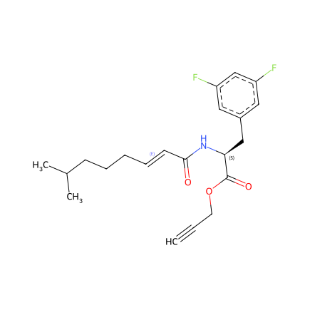 C#CCOC(=O)[C@H](Cc1cc(F)cc(F)c1)NC(=O)/C=C/CCCC(C)C